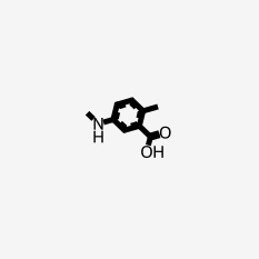 CNc1ccc(C)c(C(=O)O)c1